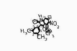 Cc1cc(C)cc(-c2c(OS(=O)(=O)C(F)(F)F)c3cc([N+](=O)[O-])c(Cl)cc3[nH]c2=O)c1